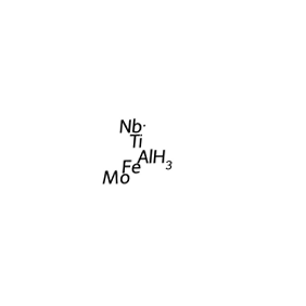 [AlH3].[Fe].[Mo].[Nb].[Ti]